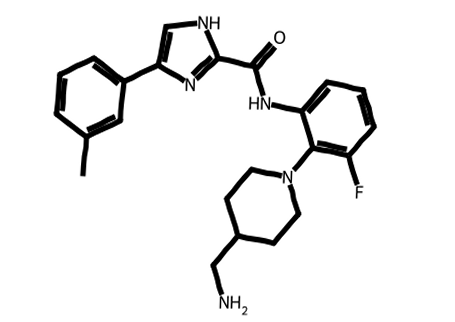 Cc1cccc(-c2c[nH]c(C(=O)Nc3cccc(F)c3N3CCC(CN)CC3)n2)c1